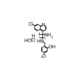 COc1ccc(CNC(C)(C)C(N)(I)c2ccnc3cc(Cl)ccc23)c(O)c1.Cl.Cl